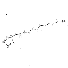 CCCCCCCCCCNCc1c[nH]cn1